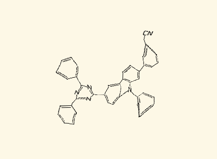 N#Cc1cccc(-c2ccc3c4cc(-c5nc(-c6ccccc6)nc(-c6ccccc6)n5)ccc4n(-c4ccccc4)c3c2)c1